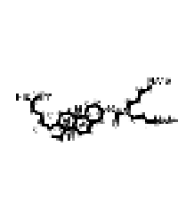 CC[C@H](CC[C@@H](C)[C@H]1CC[C@H]2[C@@H]3CC=C4C[C@@H](OC(=O)N(CCCCNC)CCCNC)CC[C@]4(C)[C@H]3CC[C@]12C)C(C)C